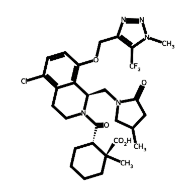 CC1CC(=O)N(C[C@@H]2c3c(OCc4nnn(C)c4C(F)(F)F)ccc(Cl)c3CCN2C(=O)[C@H]2CCCC[C@]2(C)C(=O)O)C1